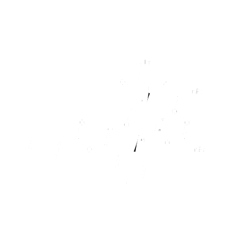 CCCC(=O)O[C@@H]1[C@H](OC(=O)CCC)[C@@H](c2ccccc2C(=O)OC(=O)c2ccccc2)OC[C@H]1OC(=O)CCC